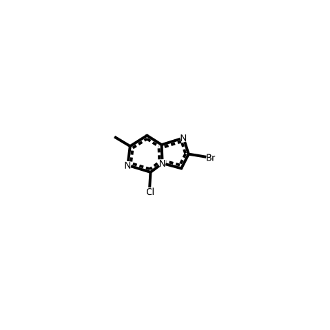 Cc1cc2nc(Br)cn2c(Cl)n1